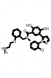 CC(C)NCCOc1ccccc1CN(C)C(=O)c1cc(-c2ccnn2-c2ccccc2Cl)c(O)cc1O